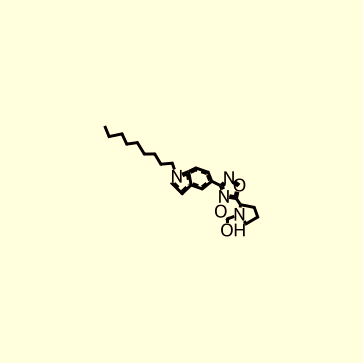 CCCCCCCCCn1ccc2cc(-c3noc(C4CCCN4C(=O)O)n3)ccc21